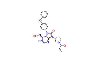 C=CC(=O)N1CC[C@H](n2c(=O)n(-c3ccc(Oc4ccccc4)cc3)c3/c(=N/O)[nH]cnc32)C1